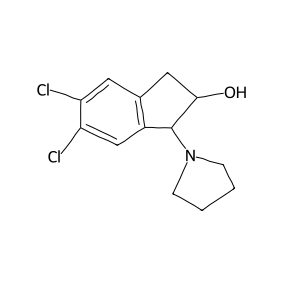 OC1Cc2cc(Cl)c(Cl)cc2C1N1CCCC1